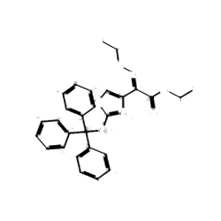 CCO/N=C(/C(=O)OCC)c1csc(NC(c2ccccc2)(c2ccccc2)c2ccccc2)n1